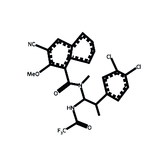 COc1c(C#N)cc2ccccc2c1C(=O)N(C)C(NC(=O)C(F)(F)F)C(C)c1ccc(Cl)c(Cl)c1